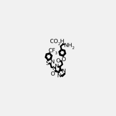 N[C@@H](Cc1ccc(OC(=O)Cc2nn(Cc3nc4cc(C(F)(F)F)ccc4s3)c(=O)c3nccnc23)cc1)C(=O)O